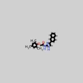 Cc1cc(C)c(OCC(=O)Nc2nc(-c3ccc4ccccc4c3)c[nH]2)c(C)c1